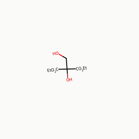 CCOC(=O)C(O)(CO)C(=O)OCC